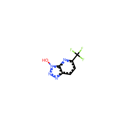 On1nnc2ccc(C(F)(F)F)nc21